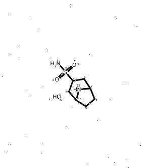 Cl.NS(=O)(=O)C1CC2CCC(C1)N2